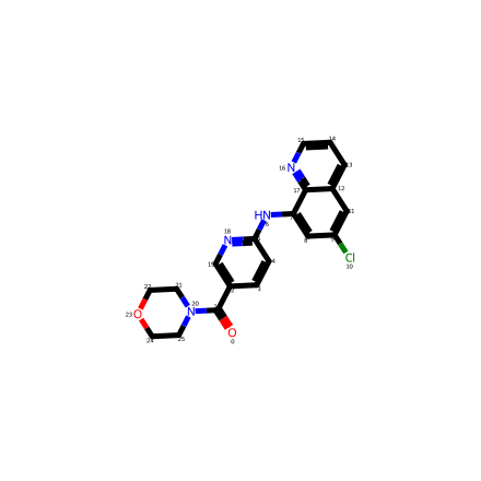 O=C(c1ccc(Nc2cc(Cl)cc3cccnc23)nc1)N1CCOCC1